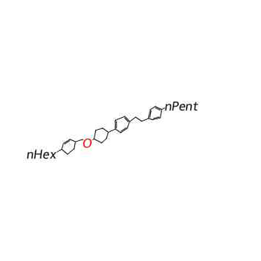 CCCCCCC1C=CC(COC2CCC(c3ccc(CCc4ccc(CCCCC)cc4)cc3)CC2)CC1